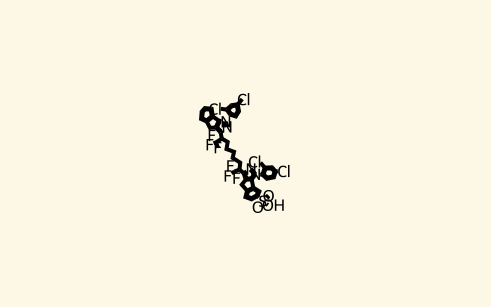 O=S(=O)(O)c1ccc2c(c1)-c1c(c(C(CCCCCC(c3nn(-c4ccc(Cl)cc4Cl)c4c3Cc3ccccc3-4)C(F)(F)F)C(F)(F)F)nn1-c1ccc(Cl)cc1Cl)C2